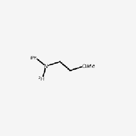 [2H]N(CCOC)C(C)C